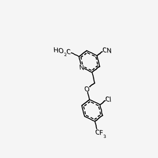 N#Cc1cc(COc2ccc(C(F)(F)F)cc2Cl)nc(C(=O)O)c1